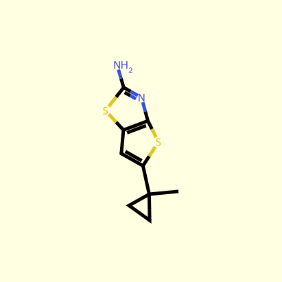 CC1(c2cc3sc(N)nc3s2)CC1